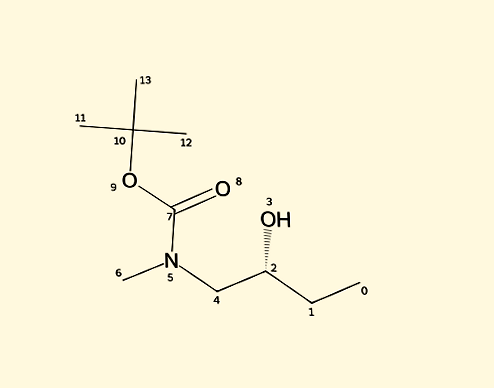 CC[C@@H](O)CN(C)C(=O)OC(C)(C)C